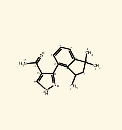 CC1CC(C)(C)c2cccc(-c3n[nH]cc3C(N)=O)c21